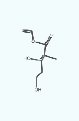 C=COC(=O)C(C)=C(O)CCO